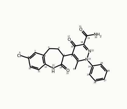 Cc1c(C2CCc3cc(Cl)ccc3NC2=O)c(=O)c(C(N)=O)nn1-c1ccccc1